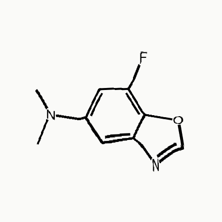 CN(C)c1cc(F)c2ocnc2c1